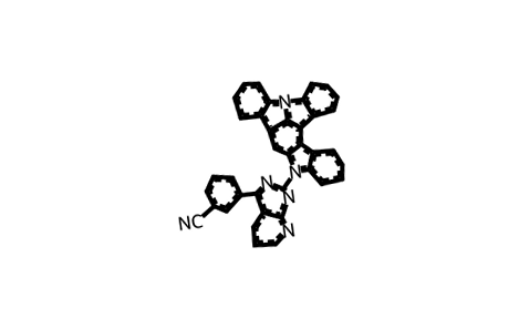 N#Cc1cccc(-c2nc(-n3c4ccccc4c4c5c6ccccc6n6c7ccccc7c(cc43)c56)nc3ncccc23)c1